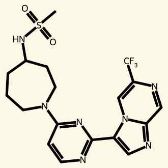 CS(=O)(=O)NC1CCCN(c2ccnc(-c3cnc4cnc(C(F)(F)F)cn34)n2)CC1